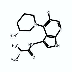 CO[C@H](C)C(=O)Nc1c[nH]c2ncc(Cl)c(N3CCC[C@@H](N)C3)c12